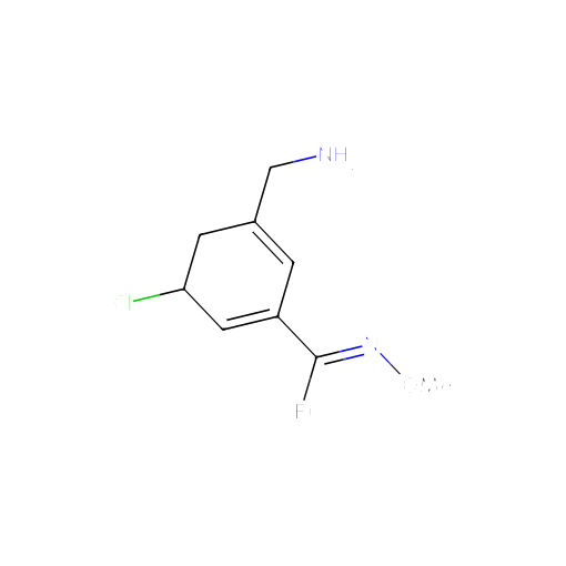 CCC(=NOC)C1=CC(Cl)CC(CN)=C1